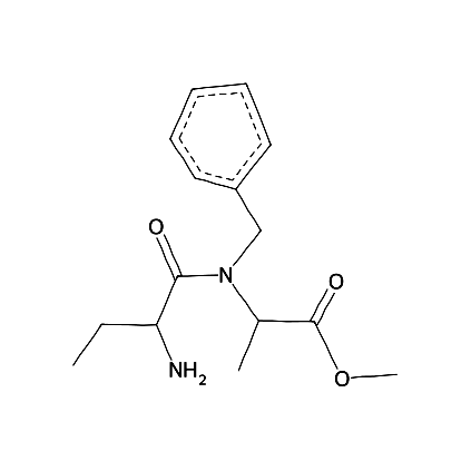 CCC(N)C(=O)N(Cc1ccccc1)C(C)C(=O)OC